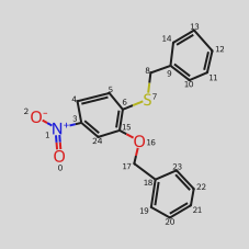 O=[N+]([O-])c1ccc(SCc2ccccc2)c(OCc2ccccc2)c1